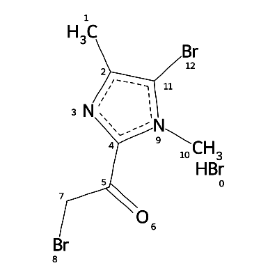 Br.Cc1nc(C(=O)CBr)n(C)c1Br